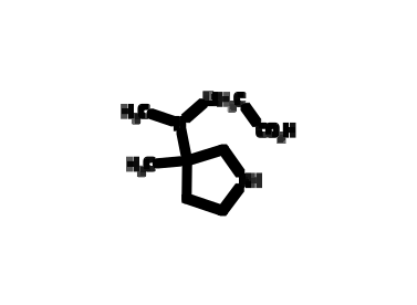 CC(=O)O.CCN(C)C1(C)CCNC1